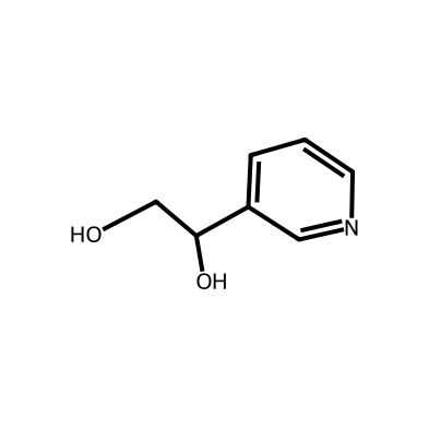 OCC(O)c1cccnc1